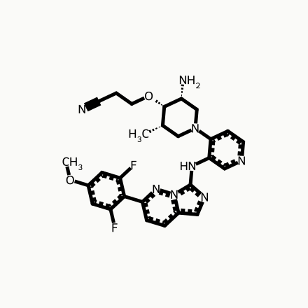 COc1cc(F)c(-c2ccc3cnc(Nc4cnccc4N4C[C@@H](N)[C@@H](OCCC#N)[C@@H](C)C4)n3n2)c(F)c1